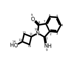 N=C1c2ccccc2C(=O)N1C1CC(O)C1